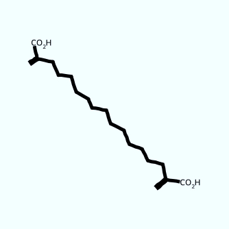 C=C(CCCCCCCCCCCCCC(=C)C(=O)O)C(=O)O